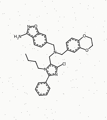 CCCCn1c(-c2ccccc2)nc(Cl)c1CN(Cc1ccc2c(c1)OCCO2)Cc1ccc2c(N)noc2c1